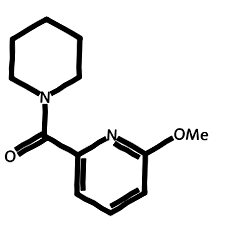 COc1cccc(C(=O)N2CCCCC2)n1